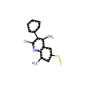 Cc1c(-c2ccccc2)c(Cl)nc2c(C)cc(SF)cc12